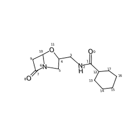 O=C(NCC1CN2C(=O)CC2O1)C1CCCCC1